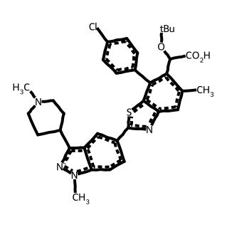 Cc1cc2nc(-c3ccc4c(c3)c(C3CCN(C)CC3)nn4C)sc2c(-c2ccc(Cl)cc2)c1C(OC(C)(C)C)C(=O)O